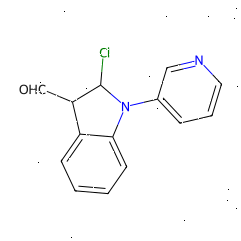 O=CC1c2ccccc2N(c2cccnc2)C1Cl